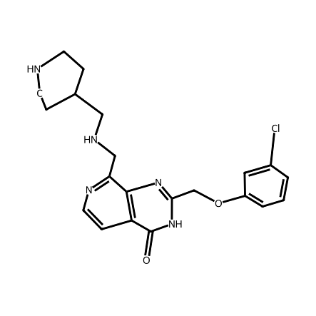 O=c1[nH]c(COc2cccc(Cl)c2)nc2c(CNCC3CCNCC3)nccc12